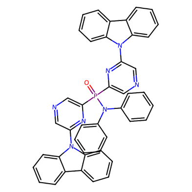 O=P(c1cncc(-n2c3ccccc3c3ccccc32)n1)(c1cncc(-n2c3ccccc3c3ccccc32)n1)N(c1ccccc1)c1ccccc1